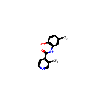 O=C(Nc1cc(C(F)(F)F)ccc1O)c1ccncc1C(F)(F)F